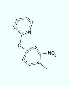 Cc1ccc(Oc2ncccn2)cc1[N+](=O)[O-]